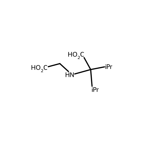 CC(C)C(NCC(=O)O)(C(=O)O)C(C)C